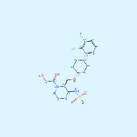 CS(=O)(=O)N[C@H]1CCCN(C(=O)CO)[C@H]1CO[C@H]1CC[C@@H](c2cccc(F)c2F)CC1